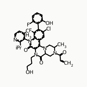 C=CC(=O)N1CC2C(=O)N(CCCO)c3c(c4cc(Cl)c(-c5c(O)cccc5F)c(F)c4n(-c4c(C)ccnc4C(C)C)c3=O)N2CC1C